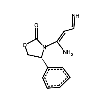 N=C/C=C(\N)N1C(=O)OC[C@H]1c1ccccc1